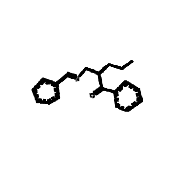 CCCC(C/N=C/c1ccccc1)C(=O)c1ccccc1